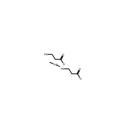 O=C([O-])CCS.O=C([O-])CCS.[CH3][Sn+2][CH3]